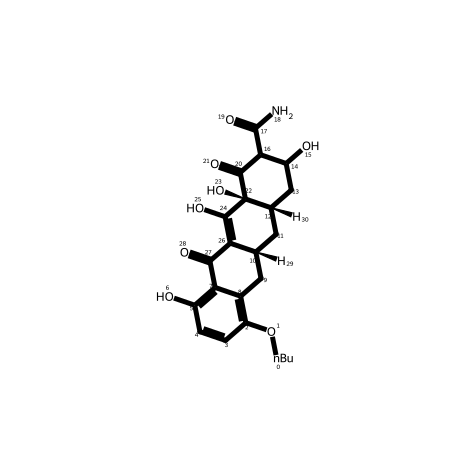 CCCCOc1ccc(O)c2c1C[C@H]1C[C@H]3CC(O)C(C(N)=O)C(=O)[C@@]3(O)C(O)=C1C2=O